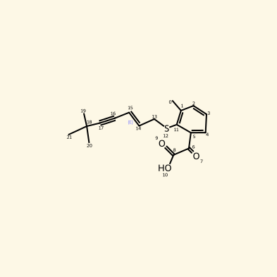 Cc1cccc(C(=O)C(=O)O)c1SC/C=C/C#CC(C)(C)C